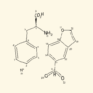 N[C@@H](Cc1ccccc1)C(=O)O.O=[SH](=O)c1ccc2occc2c1.[H+]